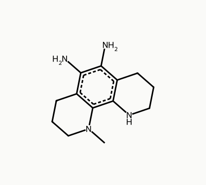 CN1CCCc2c(N)c(N)c3c(c21)NCCC3